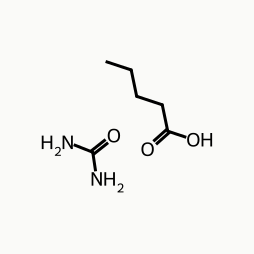 CCCCC(=O)O.NC(N)=O